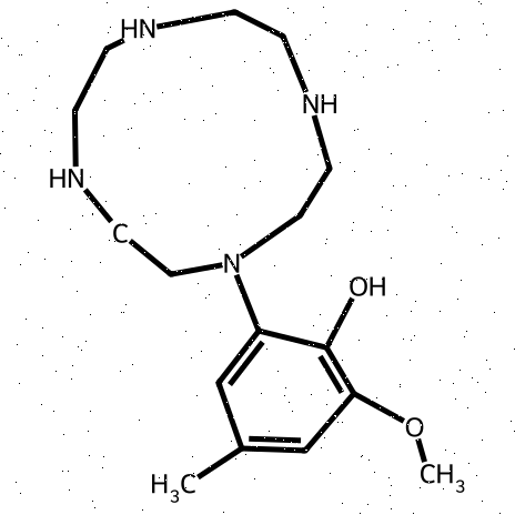 COc1cc(C)cc(N2CCNCCNCCNCC2)c1O